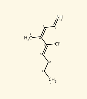 CCC/C=C(Cl)/C(C)=C\C=N